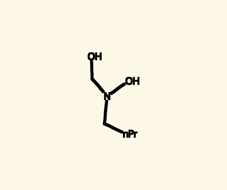 CCCCN(O)CO